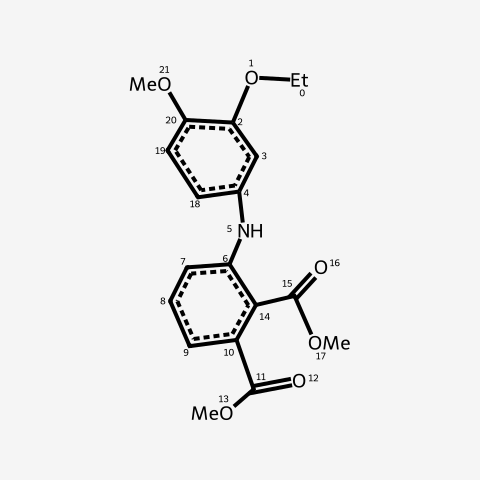 CCOc1cc(Nc2cccc(C(=O)OC)c2C(=O)OC)ccc1OC